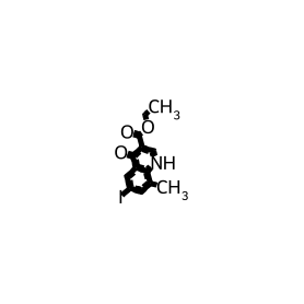 CCOC(=O)c1c[nH]c2c(C)cc(I)cc2c1=O